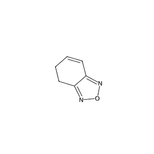 C1=Cc2nonc2CC1